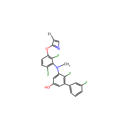 CCC1=CN=C1Oc1ccc(F)c(N(C)c2cc(O)cc(-c3cccc(F)c3)c2F)c1F